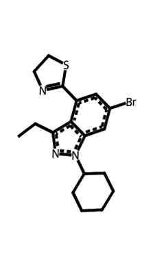 CCc1nn(C2CCCCC2)c2cc(Br)cc(C3=NCCS3)c12